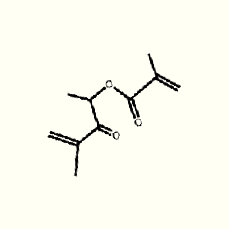 C=C(C)C(=O)OC(C)C(=O)C(=C)C